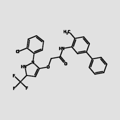 Cc1ccc(-c2ccccc2)cc1NC(=O)COC1=CC(C(F)(F)F)NN1c1ccccc1Cl